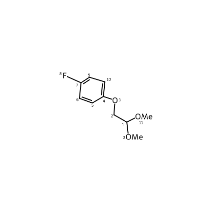 COC(COc1ccc(F)cc1)OC